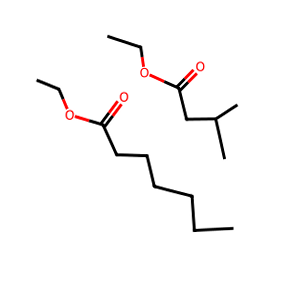 CCCCCCC(=O)OCC.CCOC(=O)CC(C)C